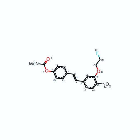 CNC(=O)Oc1ccc(/C=C/c2ccc([N+](=O)[O-])c(OCCF)c2)cc1